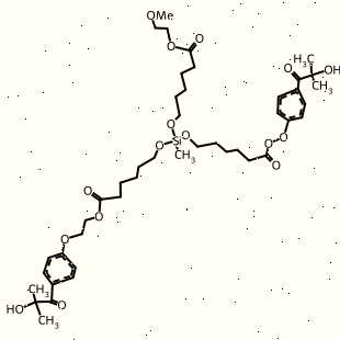 COCCOC(=O)CCCCCO[Si](C)(OCCCCCC(=O)OCCOc1ccc(C(=O)C(C)(C)O)cc1)OCCCCCC(=O)OOc1ccc(C(=O)C(C)(C)O)cc1